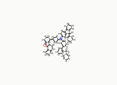 CC1(C)c2ccccc2-c2cccc(-c3cccc(N(c4ccc(-c5cccc6oc7c8ccccc8ccc7c56)cc4)c4ccc5c(c4)C(C)(c4ccccc4)c4ccccc4-5)c3)c21